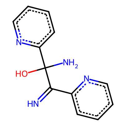 N=C(c1ccccn1)C(N)(O)c1ccccn1